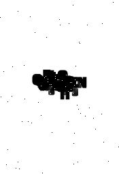 CCc1cc2c(cc1N1CCC([N+]3(O)CCOCC3)CC1)C(C)(C)c1[nH]c3cc(C#N)ccc3c1C2=O